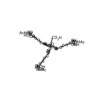 CC(=O)N[C@H]1[C@H]2OC[C@@](COCCOCCOCCOCCn3cc(COCC(COCc4cn(CCOCCOCCOCCOC[C@]56CO[C@@H](O5)[C@H](NC(C)=O)[C@@H](O)[C@H]6O)nn4)(COCc4cn(CCOCCOCCOCCOC[C@]56CO[C@@H](O5)[C@H](NC(C)=O)[C@@H](O)[C@H]6O)nn4)NC(=O)CCCCCC(=O)O)nn3)(O2)[C@H](O)[C@@H]1O